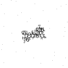 CCC(=O)N[C@@H](C(=O)N1CCOCC1)[C@@H](C)c1ccc(NC(=O)[C@H](C2CCC(C)CC2)N(C=O)c2ccnn2CC)c(F)c1